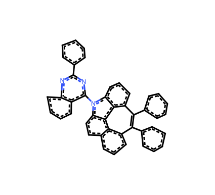 c1ccc(C2=C(c3ccccc3)c3cccc4c3c3c5c2cccc5ccc3n4-c2nc(-c3ccccc3)nc3ccccc23)cc1